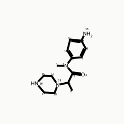 CC(C(=O)N(C)c1ccc(N)cc1)N1CCNCC1